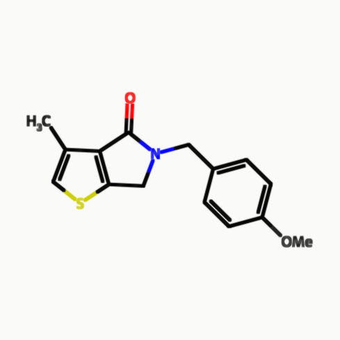 COc1ccc(CN2Cc3scc(C)c3C2=O)cc1